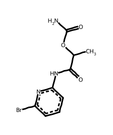 CC(OC(N)=O)C(=O)Nc1cccc(Br)n1